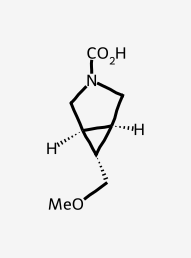 COC[C@@H]1[C@H]2CN(C(=O)O)C[C@@H]12